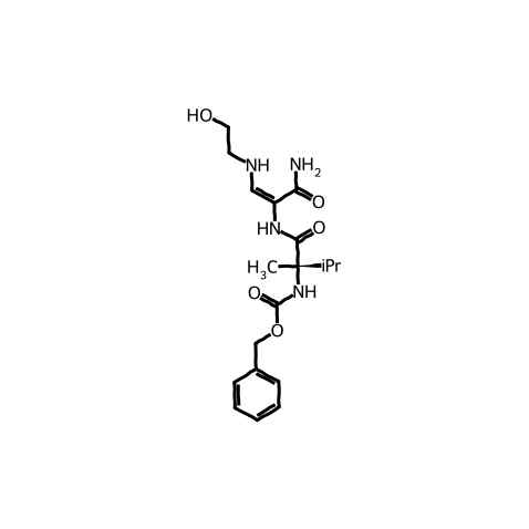 CC(C)[C@](C)(NC(=O)OCc1ccccc1)C(=O)NC(=CNCCO)C(N)=O